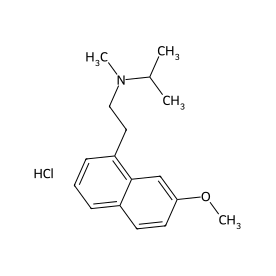 COc1ccc2cccc(CCN(C)C(C)C)c2c1.Cl